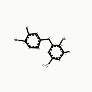 Cc1cc(Cc2cc(C=O)cc(C)c2O)ccc1O